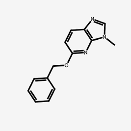 Cn1cnc2ccc(OCc3ccccc3)nc21